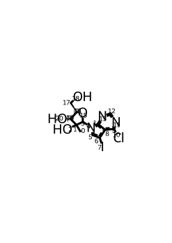 CC1(O)C(n2cc(I)c3c(Cl)ncnc32)O[C@H](CO)[C@H]1O